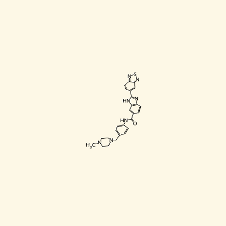 CN1CCN(Cc2ccc(NC(=O)c3ccc4nc(-c5ccc6nsnc6c5)[nH]c4c3)cc2)CC1